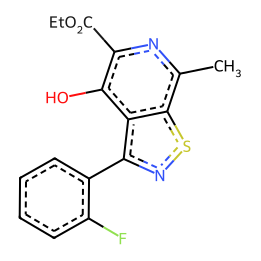 CCOC(=O)c1nc(C)c2snc(-c3ccccc3F)c2c1O